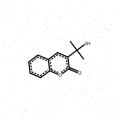 CC(C)(S)c1cc2ccccc2oc1=O